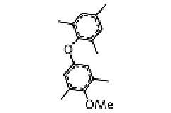 COc1c(C)cc(Oc2c(C)cc(C)cc2C)cc1C